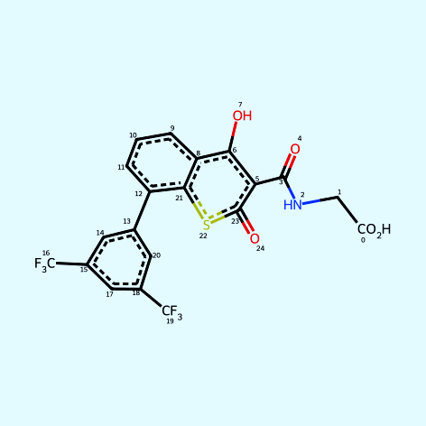 O=C(O)CNC(=O)c1c(O)c2cccc(-c3cc(C(F)(F)F)cc(C(F)(F)F)c3)c2sc1=O